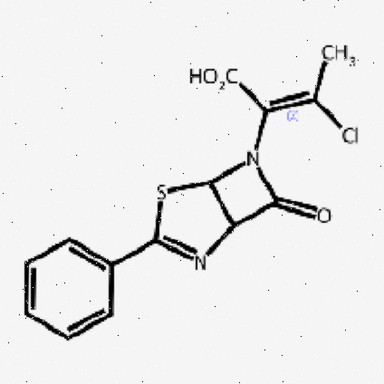 C/C(Cl)=C(\C(=O)O)N1C(=O)C2N=C(c3ccccc3)SC21